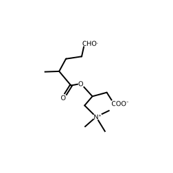 CC(CC[C]=O)C(=O)OC(CC(=O)[O-])C[N+](C)(C)C